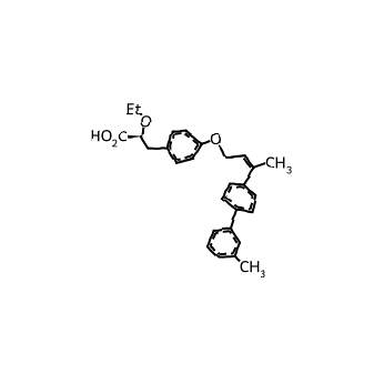 CCO[C@@H](Cc1ccc(OCC=C(C)c2ccc(-c3cccc(C)c3)cc2)cc1)C(=O)O